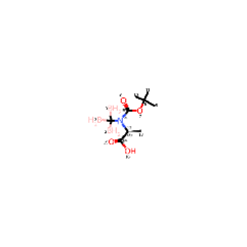 BC(B)(B)N(C(=O)OC(C)(C)C)[C@@H](C)C(=O)O